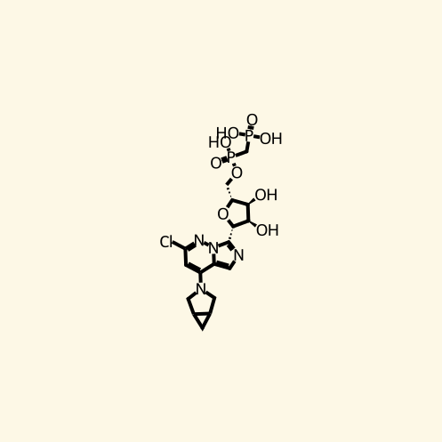 O=P(O)(O)CP(=O)(O)OC[C@H]1O[C@@H](c2ncc3c(N4CC5CC5C4)cc(Cl)nn23)[C@H](O)[C@@H]1O